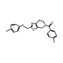 Cc1ccc(OCc2nc3c(o2)CN(C(=O)c2ccc(C)cc2)CC3)cc1